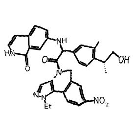 CCn1nccc1-c1ccc([N+](=O)[O-])cc1CN(C)C(=O)C(Nc1ccc2cc[nH]c(=O)c2c1)c1ccc([C@@H](C)CO)c(C)c1